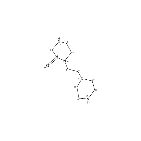 O=C1CNCCN1CCN1CCNCC1